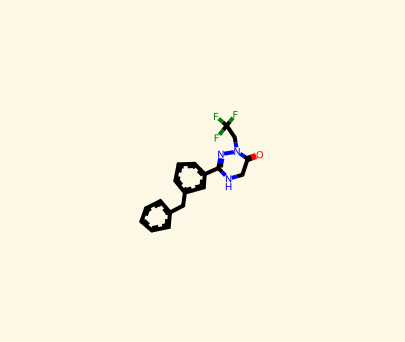 O=C1CNC(c2cccc(Cc3ccccc3)c2)=NN1CC(F)(F)F